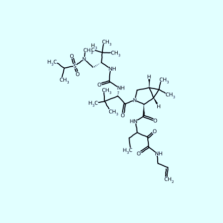 C=CCNC(=O)C(=O)C(CC)NC(=O)[C@@H]1[C@@H]2[C@H](CN1C(=O)[C@@H](NC(=O)N[C@H](CN(C)S(=O)(=O)C(C)C)C(C)(C)C)C(C)(C)C)C2(C)C